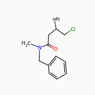 CCCC(CCl)CC(=O)N(C)Cc1ccccc1